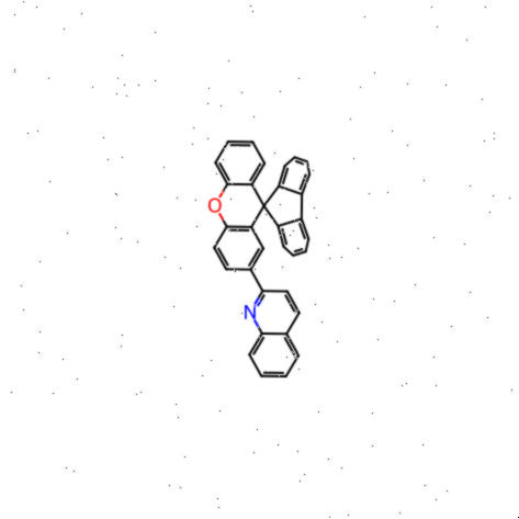 c1ccc2c(c1)Oc1ccc(-c3ccc4ccccc4n3)cc1C21c2ccccc2-c2ccccc21